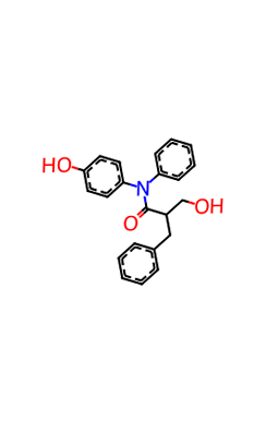 O=C(C(CO)Cc1ccccc1)N(c1ccccc1)c1ccc(O)cc1